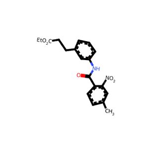 CCOC(=O)CCc1cccc(NC(=O)c2ccc(C)cc2[N+](=O)[O-])c1